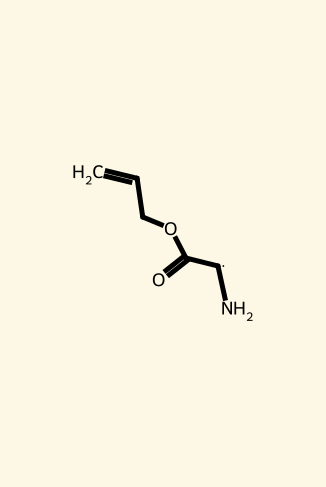 C=CCOC(=O)[CH]N